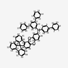 c1ccc(-c2ccc(N(c3cc(-c4ccccc4)cc(-c4ccccc4)c3)c3ccc4c(c3)Oc3c(ccc5c3-c3ccccc3C53c5ccccc5-c5ccccc53)O4)cc2)cc1